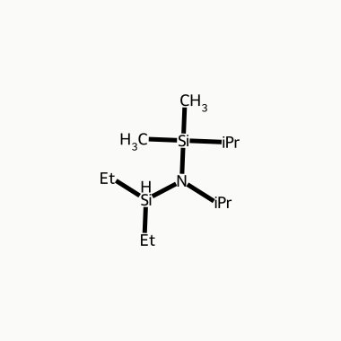 CC[SiH](CC)N(C(C)C)[Si](C)(C)C(C)C